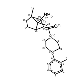 Cc1ccccc1N1CCN(C(=O)C2C3CCC(C)(C2N)C3(C)C)CC1